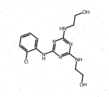 OCCNc1nc(NCCO)nc(Nc2ccccc2Cl)n1